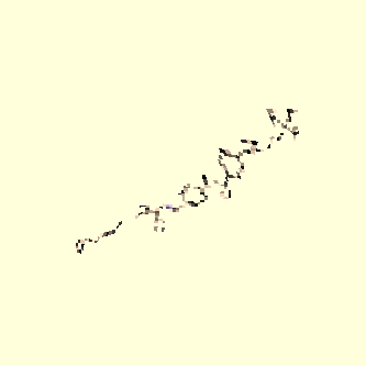 COCCCCCCOC(=O)/C=C/c1ccc(OC(=O)c2ccc(OCCCC(F)(F)F)cc2)cc1